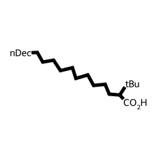 CCCCCCCCCCCCCCCCCCCCC(C(=O)O)C(C)(C)C